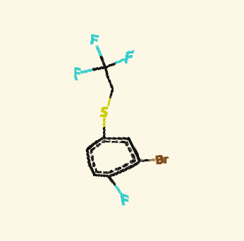 Fc1ccc(SCC(F)(F)F)cc1Br